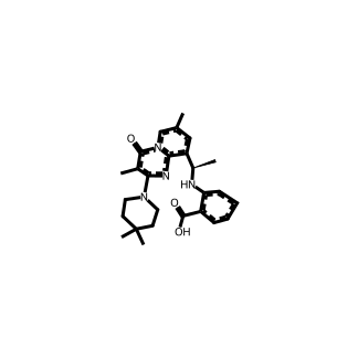 Cc1cc([C@@H](C)Nc2ccccc2C(=O)O)c2nc(N3CCC(C)(C)CC3)c(C)c(=O)n2c1